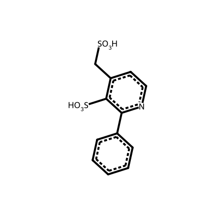 O=S(=O)(O)Cc1ccnc(-c2ccccc2)c1S(=O)(=O)O